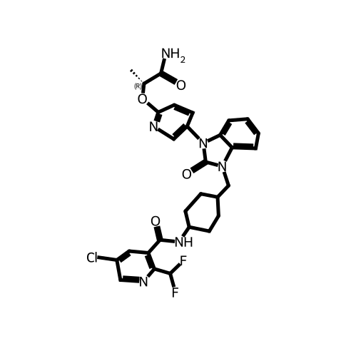 C[C@@H](Oc1ccc(-n2c(=O)n(CC3CCC(NC(=O)c4cc(Cl)cnc4C(F)F)CC3)c3ccccc32)cn1)C(N)=O